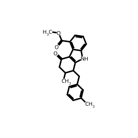 COC(=O)c1cccc2[nH]c3c(c12)C(=O)CC(C)C3Cc1cccc(C)c1